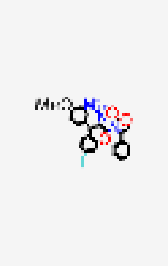 COC1CCC([C@H](c2ccc(F)cc2)[C@H](N=[N+]=[N-])C(=O)N2C(=O)OCC2c2ccccc2)CC1